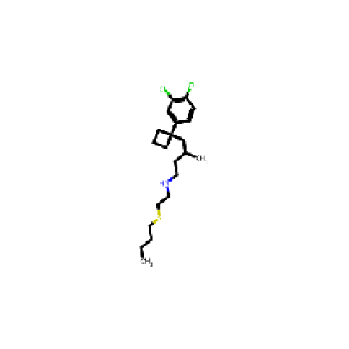 CCCCSCCNCCC(C)CC1(c2ccc(Cl)c(Cl)c2)CCC1